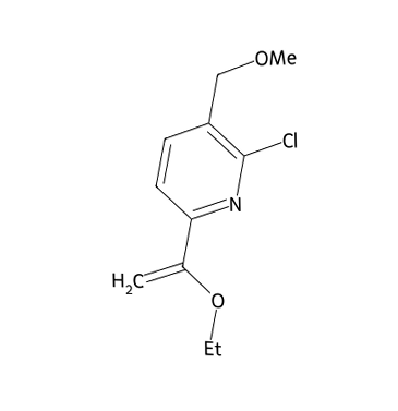 C=C(OCC)c1ccc(COC)c(Cl)n1